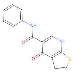 O=C(Nc1ccccc1)c1c[nH]c2sccc2c1=O